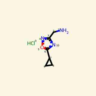 Cl.NCc1noc(C2CC2)n1